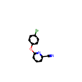 N#Cc1cccc(Oc2ccc(Br)cc2)n1